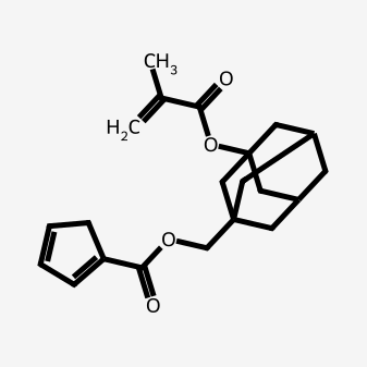 C=C(C)C(=O)OC12CC3CC(CC(COC(=O)C4=CC=CC4)(C3)C1)C2